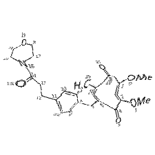 COC1=C(OC)C(=O)C(Cc2ccc(CCC(=O)N3CCOCC3)cc2)=C(C)C1=O